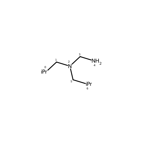 CC(C)CN(CN)CC(C)C